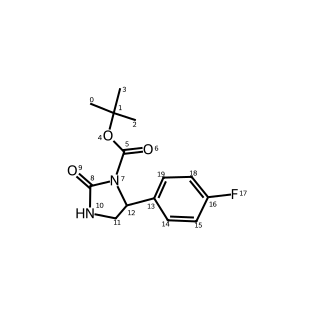 CC(C)(C)OC(=O)N1C(=O)NCC1c1ccc(F)cc1